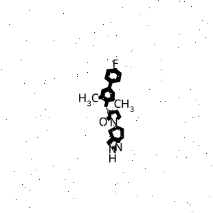 Cc1cc(-c2ccc(F)cc2)cc(C)c1C[C@@H]1CCN(C2CCc3n[nH]cc3C2)C1=O